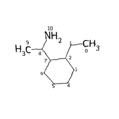 CCC1CCCCC1C(C)N